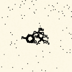 CCOC(=O)C(C)(C)N[P@@](=O)(Oc1cccc(F)c1)C(C)(C)C